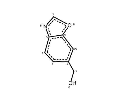 OCc1ccc2ncoc2c1